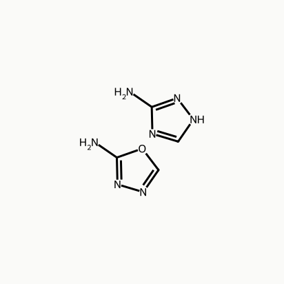 Nc1nc[nH]n1.Nc1nnco1